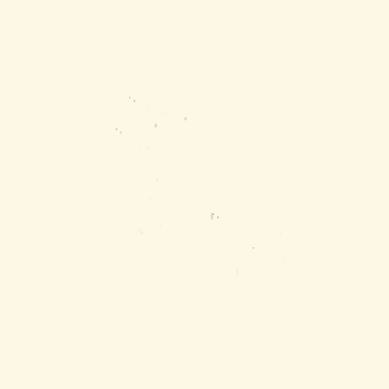 CC(C)(C)OC(=O)NC1CCC(Oc2cc(Cl)c3c(N)ncc(-c4cc5ccccc5o4)c3c2)CC1